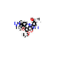 COc1cc(OC)cc(/C(Nc2ccc(C(C)(C)N)cc2)=C2\C(=O)Nc3ccc(C(C)=O)cc32)c1